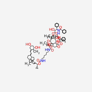 C=C1/C(=C\C=C2/CCC[C@@]3(C)C2CCC3[C@@H](C)/C=C/C(OC(=O)NCCCCCCNC(=O)OC2CC3OCC3(OC(C)=O)C3C(OC(=O)c4ccccc4)C4(O)CC(OC(=O)C(O)C(NC(=O)c5ccccc5)c5ccccc5)C(C)=C(C(OC(C)=O)C(=O)C23C)C4(C)C)C2CC2)C[C@@H](O)C[C@@H]1O